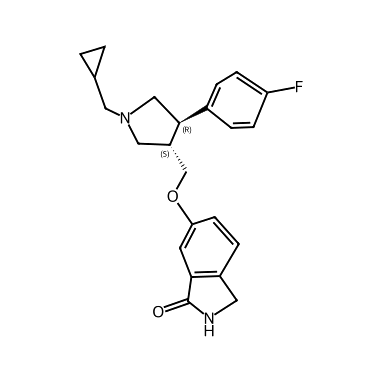 O=C1NCc2ccc(OC[C@@H]3CN(CC4CC4)C[C@H]3c3ccc(F)cc3)cc21